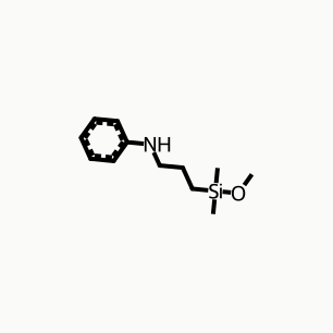 CO[Si](C)(C)CCCNc1ccccc1